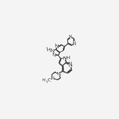 CN1CCN(c2ccnc3[nH]c(-c4n[nH]c5ncc(-c6cncnc6)cc45)cc23)CC1